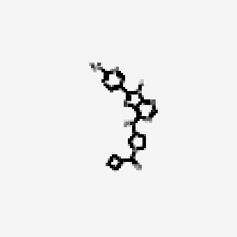 CCn1c(-c2cnc(C)nc2)nc2c(NC3CCN(C(=O)C4CCC4)C3)ncnc21